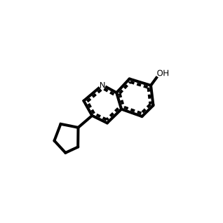 Oc1ccc2cc(C3CCCC3)cnc2c1